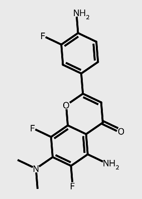 CN(C)c1c(F)c(N)c2c(=O)cc(-c3ccc(N)c(F)c3)oc2c1F